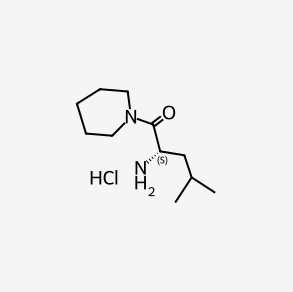 CC(C)C[C@H](N)C(=O)N1CCCCC1.Cl